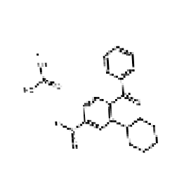 O=C(O)O.O=C(c1ccccc1)c1ccc([N+](=O)[O-])cc1C1CCCCC1